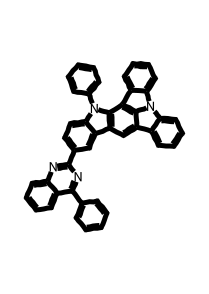 c1ccc(-c2nc(-c3ccc4c(c3)c3cc5c6ccccc6n6c7ccccc7c(c3n4-c3ccccc3)c56)nc3ccccc23)cc1